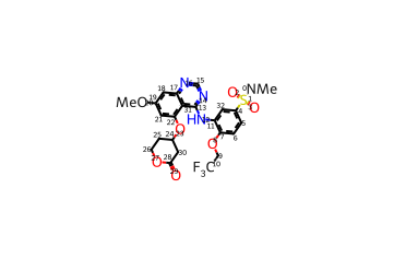 CNS(=O)(=O)c1ccc(OCC(F)(F)F)c(Nc2ncnc3cc(OC)cc(OC4CCOC(=O)C4)c23)c1